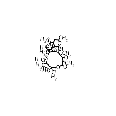 CC(=O)O[C@@H]1C(N(C)C)C[C@@H](C)O[C@H]1O[C@@H]1[C@@H](C)C(=O)[C@@H](C)C(=O)O[C@H](I)[C@@](C)(O)[C@H](O)[C@@H](C)N(C)C[C@H](C)C[C@@]1(C)O